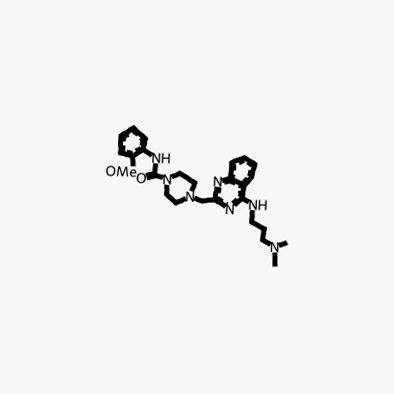 COc1ccccc1NC(=O)N1CCN(Cc2nc(NCCCN(C)C)c3ccccc3n2)CC1